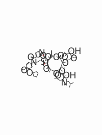 COc1ccc(N(CCSC2C(=O)O[C@@]3(C)[C@H]2[C@@H](C)C(=O)[C@H](C)C[C@@](C)(OC)[C@H](O[C@@H]2O[C@H](C)C[C@H](N(C)CC(C)C)[C@H]2O)[C@@H](C)[C@H](O[C@H]2C[C@@](C)(OC)[C@@H](O)[C@H](C)O2)[C@@H](C)C(=O)O[C@@H]3I)C(=O)c2ccncc2)cc1OC1CCCC1